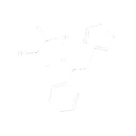 O=C(Cc1ccccn1)c1ccccc1.O=C(O)C(=O)O